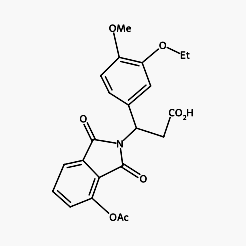 CCOc1cc(C(CC(=O)O)N2C(=O)c3cccc(OC(C)=O)c3C2=O)ccc1OC